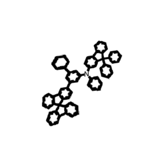 C1=CCCC(c2cc(-c3ccc4c(c3)-c3ccccc3C43c4ccccc4-c4ccccc43)cc(N(c3ccccc3)c3ccc4c(c3)C(c3ccccc3)(c3ccccc3)c3ccccc3-4)c2)=C1